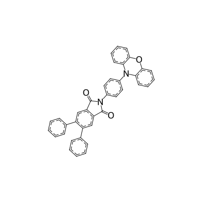 O=C1c2cc(-c3ccccc3)c(-c3ccccc3)cc2C(=O)N1c1ccc(N2c3ccccc3Oc3ccccc32)cc1